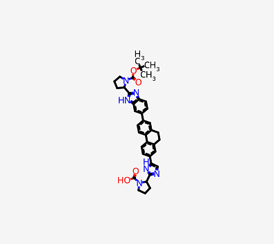 CC(C)(C)OC(=O)N1CCCC1c1nc2ccc(-c3ccc4c(c3)CCc3cc(-c5cnc(C6CCCN6C(=O)O)[nH]5)ccc3-4)cc2[nH]1